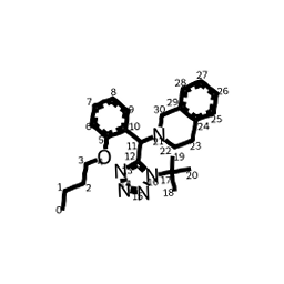 CCCCOc1ccccc1C(c1nnnn1C(C)(C)C)N1CCc2ccccc2C1